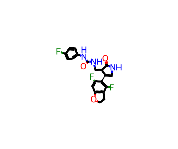 O=C(NCC1C(=O)NC[C@H]1c1c(F)cc2c(c1F)CCO2)Nc1ccc(F)cc1